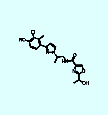 Cc1c(-c2ccn(C(C)CNC(=O)c3coc(C(C)O)n3)n2)ccc(C#N)c1Cl